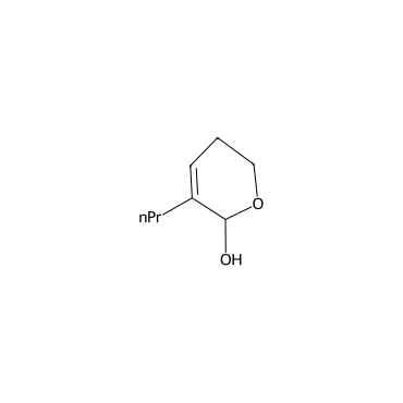 CCCC1=CCCOC1O